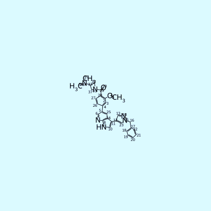 COc1cc(-c2cnc3[nH]cc(-c4cnn(Cc5ccccc5)c4)c3c2)ccc1C(=O)N1CC(N(C)C)C1